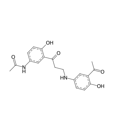 CC(=O)Nc1ccc(O)c(C(=O)CCNc2ccc(O)c(C(C)=O)c2)c1